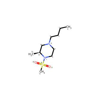 CCCCN1CCN(S(C)(=O)=O)[C@@H](C)C1